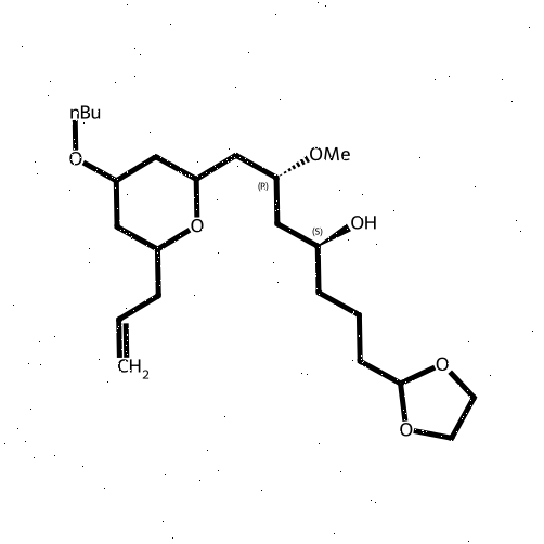 C=CCC1CC(OCCCC)CC(C[C@@H](C[C@@H](O)CCCC2OCCO2)OC)O1